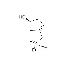 CCP(=O)(O)CC1=CC[C@H](O)C1